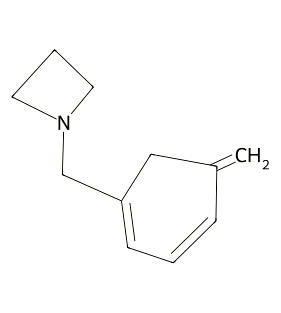 C=C1C=CC=C(CN2CCC2)C1